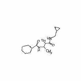 CC(NC(=O)C1CCCCC1)C(O)C(=O)NCC1CC1